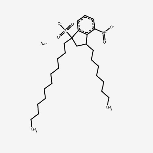 CCCCCCCCCCCCC1(S(=O)(=O)[O-])CC(CCCCCCCC)c2c([N+](=O)[O-])cccc21.[Na+]